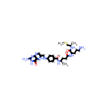 CSC[C@@H](C)NC(=O)C(CCCN)NC(=O)CC[C@@H](C)NC(=O)c1ccc(NCc2cnc3nc(N)[nH]c(=O)c3n2)cc1